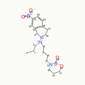 CCCN(CCCCN1CCCOC1=O)C1CCc2ccc([N+](=O)[O-])cc2C1